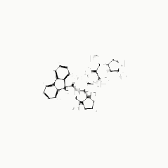 O=C1NCC[C@H]1C[C@@H](NC(=O)[C@@H]1[C@@H]2CCC[C@@H]2CN1C(=O)C1(F)c2ccccc2-c2ccccc21)C(=O)CO